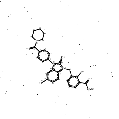 COC(=O)c1cccc(Cn2c(=O)n(-c3ccc(C(=O)N4CCCCC4)cc3)c3cc(Cl)ccc32)c1F